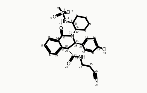 CS(=O)(=O)N[C@H]1CCCC[C@@H]1N1C(=O)c2ccccc2[C@@H](C(=O)NCCC#N)[C@@H]1c1ccc(Cl)cc1